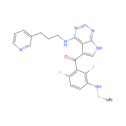 CCCSNc1ccc(F)c(C(=O)c2c[nH]c3ncnc(NCCCc4cccnc4)c23)c1F